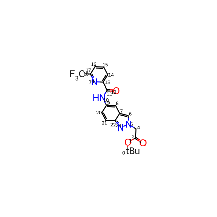 CC(C)(C)OC(=O)Cn1cc2cc(NC(=O)c3cccc(C(F)(F)F)n3)ccc2n1